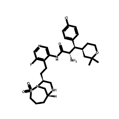 CC1(C)C[C@@H]([C@H](c2ccc(Cl)cc2)[C@H](N)C(=O)Nc2cncc(F)c2CC[C@H]2CN[C@@H]3CCCS(=O)(=O)N2C3)CCO1